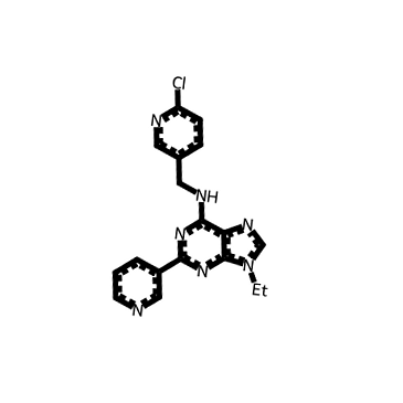 CCn1cnc2c(NCc3ccc(Cl)nc3)nc(-c3cccnc3)nc21